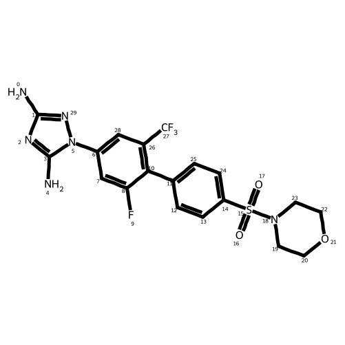 Nc1nc(N)n(-c2cc(F)c(-c3ccc(S(=O)(=O)N4CCOCC4)cc3)c(C(F)(F)F)c2)n1